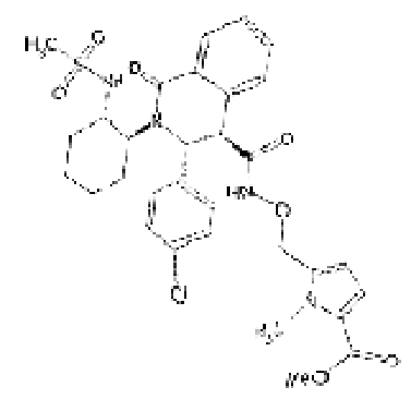 COC(=O)c1ccc(CONC(=O)[C@@H]2c3ccccc3C(=O)N([C@H]3CCCC[C@@H]3NS(C)(=O)=O)[C@H]2c2ccc(Cl)cc2)n1C